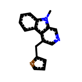 Cn1c2ccccc2c2c(Cc3cccs3)cncc21